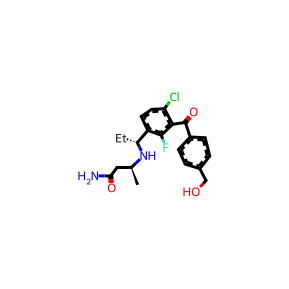 CC[C@@H](N[C@@H](C)CC(N)=O)c1ccc(Cl)c(C(=O)c2ccc(CO)cc2)c1F